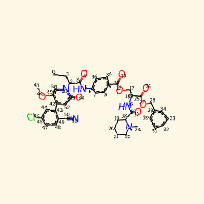 CCC(C(=O)Nc1ccc(C(=O)OC[C@H](NC(=O)C2CCCCN2C)C(=O)OCc2ccccc2)cc1)n1cc(OC)c(-c2cc(Cl)ccc2C#N)cc1=O